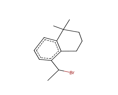 CC(Br)c1cccc2c1CCCC2(C)C